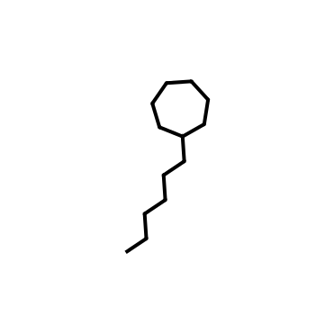 CCCCCC[C]1CCCCCC1